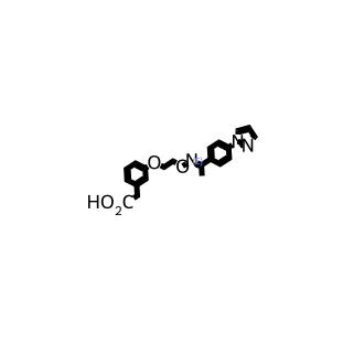 C/C(=N\OCCOc1cccc(CC(=O)O)c1)c1ccc(-n2cccn2)cc1